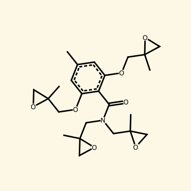 Cc1cc(OCC2(C)CO2)c(C(=O)N(CC2(C)CO2)CC2(C)CO2)c(OCC2(C)CO2)c1